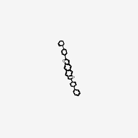 c1ccc(-c2ccc(-c3cc4cc5cc6oc(-c7ccc(-c8ccccc8)cc7)cc6cc5cc4o3)cc2)cc1